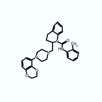 Cc1ccccc1NC(=O)N1c2ccccc2CCC1CN1CCN(c2cccc3c2OCCO3)CC1